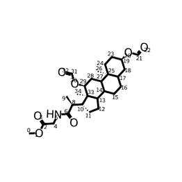 COC(=O)CNC(=O)[C@@H](C)[C@H]1CCC2C3CCC4C[C@H](OC=O)CC[C@]4(C)C3C[C@H](OC=O)[C@@]21C